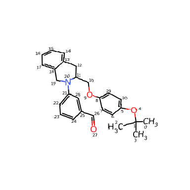 CC(C)(C)Oc1ccc(OCC2Cc3ccccc3CN2c2cccc(C=O)c2)cc1